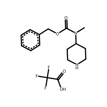 CN(C(=O)OCc1ccccc1)C1CCNCC1.O=C(O)C(F)(F)F